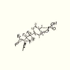 O=P(O)(O)Cc1ccc(C(F)(F)C(F)(F)C(F)=C(F)F)cc1